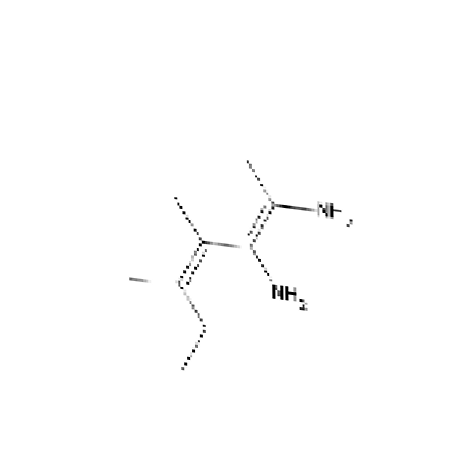 CC/C(C)=C(C)\C(N)=C(/C)N